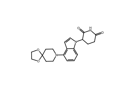 O=C1CCC(n2ccc3c(N4CCC5(CC4)OCCO5)cccc32)C(=O)N1